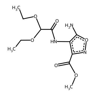 CCOC(OCC)C(=O)Nc1c(C(=O)OC)noc1N